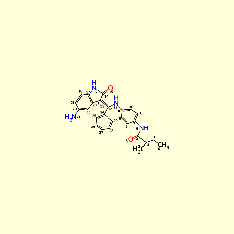 CCC(C)C(=O)Nc1ccc(N/C(=C2\C(=O)Nc3ccc(N)cc32)c2ccccc2)cc1